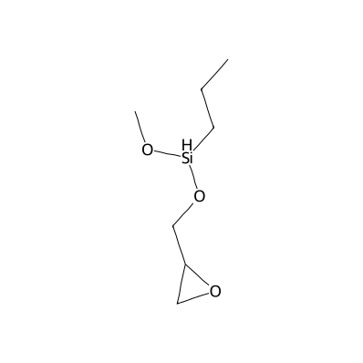 CCC[SiH](OC)OCC1CO1